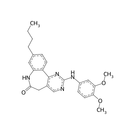 CCCCc1ccc2c(c1)NC(=O)Cc1cnc(Nc3ccc(OC)c(OC)c3)nc1-2